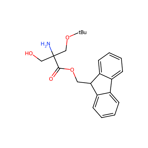 CC(C)(C)OCC(N)(CO)C(=O)OCC1c2ccccc2-c2ccccc21